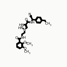 CCc1ccc(C(C#N)NC(=O)C2=CN(CCNC(=O)c3cccc(OC)c3OC)NN2)cc1